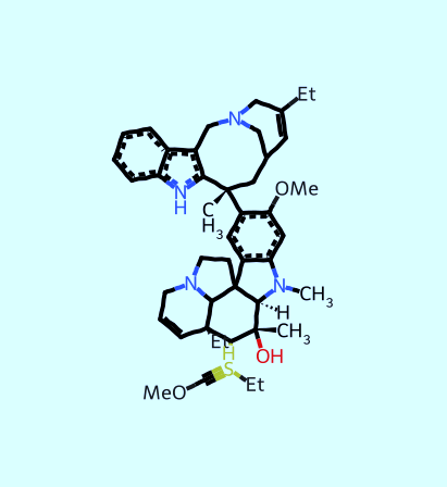 CCC1=CC2CN(C1)Cc1c([nH]c3ccccc13)[C@@](C)(c1cc3c(cc1OC)N(C)[C@@H]1C34CCN3CC=C[C@](CC)(C34)C([SH](#COC)CC)[C@@]1(C)O)C2